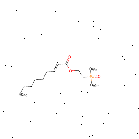 CCCCCCCCCCCCCCCC=CC(=O)OCCP(=O)(OC)OC